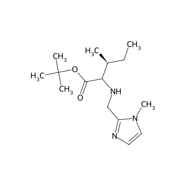 CC[C@H](C)C(NCc1nccn1C)C(=O)OC(C)(C)C